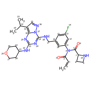 C=CC(=O)N(C(=O)C1CCN1)c1cc(F)cc(CNc2nc(NC3CCOCC3)nc3c(C(C)C)cnn23)c1